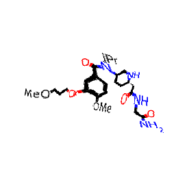 COCCCOc1cc(C(=O)N(C(C)C)C2CC[C@@H](CC(=O)NCC(N)=O)NC2)ccc1OC